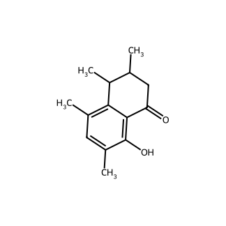 Cc1cc(C)c2c(c1O)C(=O)CC(C)C2C